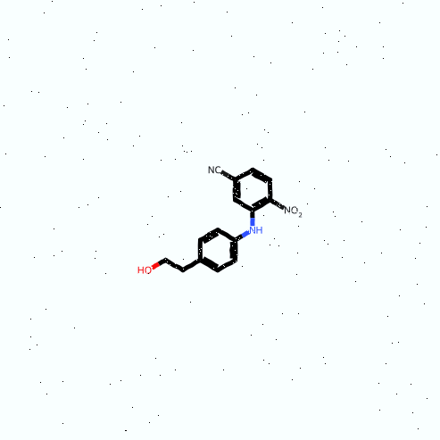 N#Cc1ccc([N+](=O)[O-])c(Nc2ccc(CCO)cc2)c1